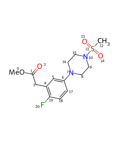 COC(=O)Cc1cc(N2CCN(S(C)(=O)=O)CC2)ccc1F